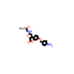 COC(=O)CNC(=O)Cc1cc(=O)oc2cc(OCc3ccc(N)cc3)ccc12